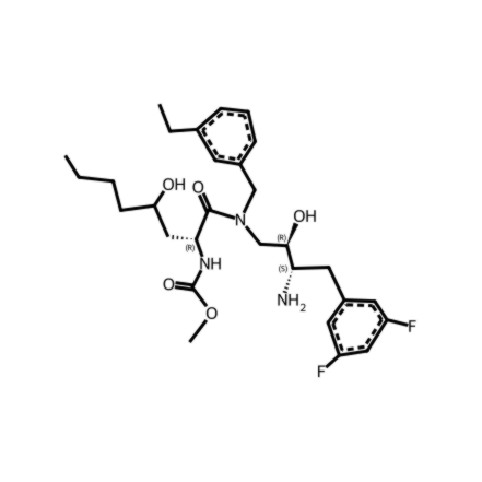 CCCCC(O)C[C@@H](NC(=O)OC)C(=O)N(Cc1cccc(CC)c1)C[C@@H](O)[C@@H](N)Cc1cc(F)cc(F)c1